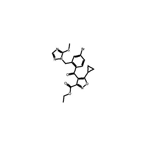 CCOC(=O)c1noc(C2CC2)c1C(=O)c1ccc(Br)cc1Cn1ncnc1SC